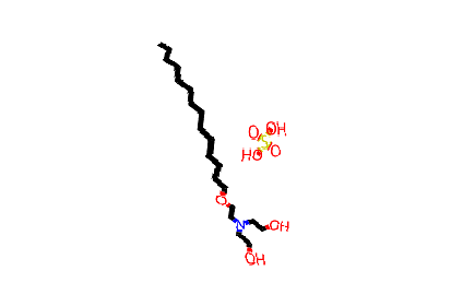 CCCCCCCCCCCCCCOCCN(CCO)CCO.O=S(=O)(O)O